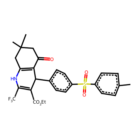 CCOC(=O)C1=C(C(F)(F)F)NC2=C(C(=O)CC(C)(C)C2)C1c1ccc(S(=O)(=O)c2ccc(C)cc2)cc1